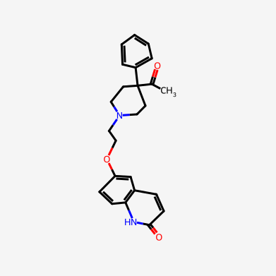 CC(=O)C1(c2ccccc2)CCN(CCOc2ccc3[nH]c(=O)ccc3c2)CC1